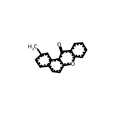 Cc1ccc2ccc3oc4ccccc4c(=O)c3c2c1